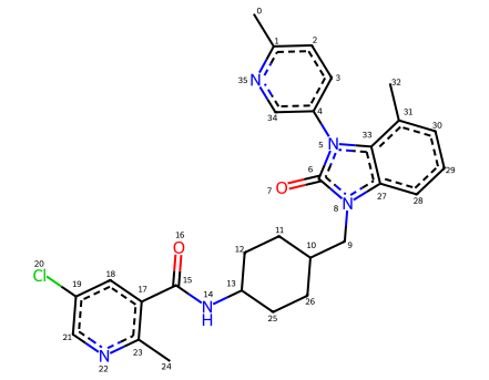 Cc1ccc(-n2c(=O)n(CC3CCC(NC(=O)c4cc(Cl)cnc4C)CC3)c3cccc(C)c32)cn1